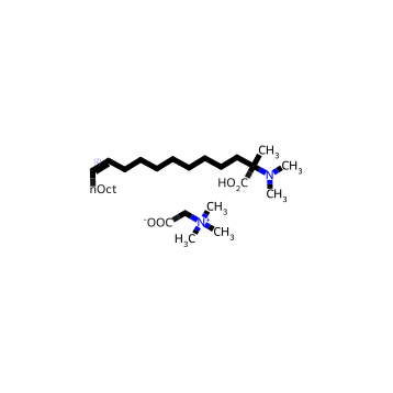 CCCCCCCC/C=C\CCCCCCCCC(C)(C(=O)O)N(C)C.C[N+](C)(C)CC(=O)[O-]